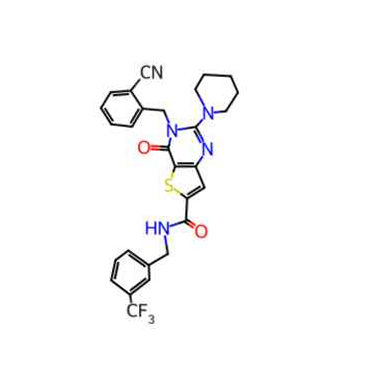 N#Cc1ccccc1Cn1c(N2CCCCC2)nc2cc(C(=O)NCc3cccc(C(F)(F)F)c3)sc2c1=O